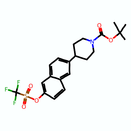 CC(C)(C)OC(=O)N1CCC(c2ccc3cc(OS(=O)(=O)C(F)(F)F)ccc3c2)CC1